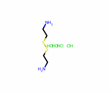 Cl.Cl.Cl.Cl.NCCSSCCN